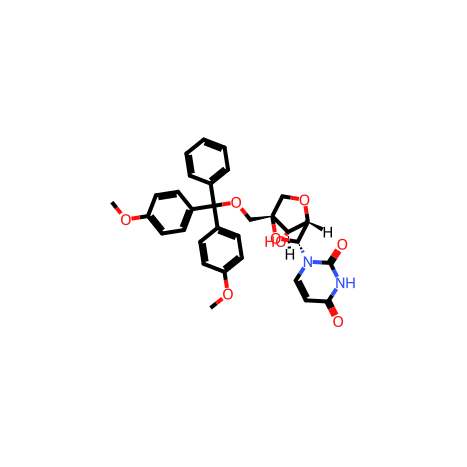 COc1ccc(C(OC[C@]23CO[C@H]([C@H](n4ccc(=O)[nH]c4=O)O2)[C@H]3O)(c2ccccc2)c2ccc(OC)cc2)cc1